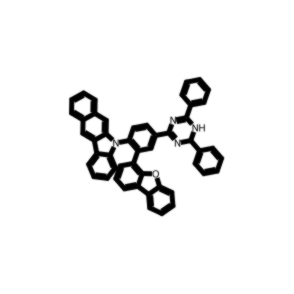 c1ccc(C2=NC(c3ccc(-n4c5ccccc5c5cc6ccccc6cc54)c(-c4cccc5c4oc4ccccc45)c3)=NC(c3ccccc3)N2)cc1